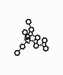 c1ccc(-c2ccc(-c3nc(-c4ccccc4)nc(-n4c5cccc(-n6c7ccccc7c7ccccc76)c5c5cccc(-n6c7ccccc7c7cc(-c8ccccc8)ccc76)c54)n3)cc2)cc1